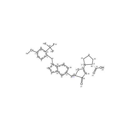 COc1ccc(Cn2ncc3cc(/C=C4\SC(N5CCC[C@@H]5C(=O)O)=NC4=O)ccc32)c(C(F)(F)F)c1